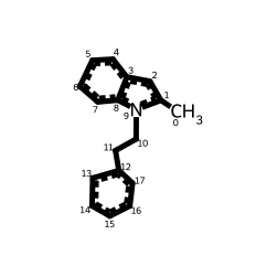 Cc1cc2ccccc2n1CCc1ccccc1